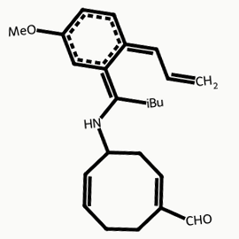 C=C/C=c1/ccc(OC)c/c1=C(\NC1/C=C\CC/C(C=O)=C\C1)C(C)CC